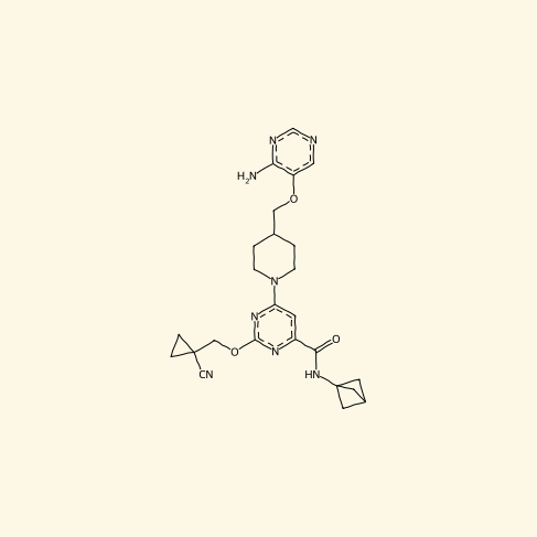 N#CC1(COc2nc(C(=O)NC34CC(C3)C4)cc(N3CCC(COc4cncnc4N)CC3)n2)CC1